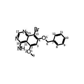 COc1cc(OCc2ccccc2)c(Br)c2ncnc(N)c12